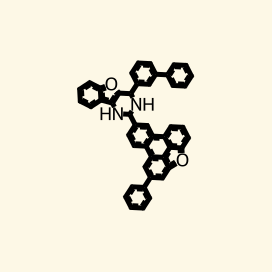 c1ccc(-c2cccc(C3NC(c4ccc5c(c4)c4cccc6oc7cc(-c8ccccc8)cc5c7c64)Nc4c3oc3ccccc43)c2)cc1